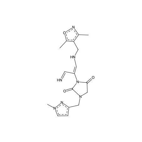 Cc1noc(C)c1CN/C=C(\C=N)N1C(=O)CN(Cc2ccn(C)n2)C1=O